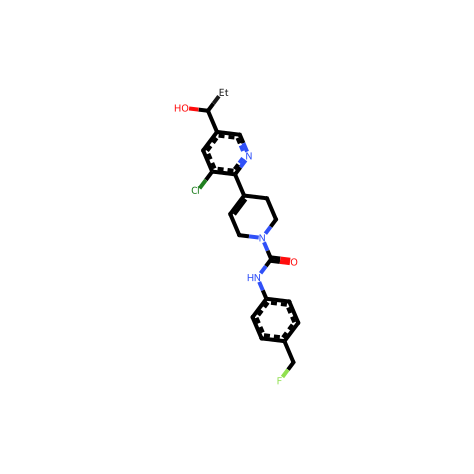 CCC(O)c1cnc(C2=CCN(C(=O)Nc3ccc(CF)cc3)CC2)c(Cl)c1